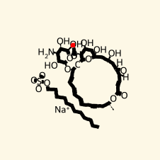 CCCCCCCCCCCCOS(=O)(=O)[O-].C[C@@H]1C/C=C/C=C/C=C/C=C/[C@H](O[C@@H]2O[C@H](C)[C@@H](O)[C@H](N)[C@@H]2O)C[C@@H]2O[C@](O)(C[C@@H](O)C[C@H]3O[C@@H]3/C=C/C(=O)O1)C[C@H](O)[C@H]2C(=O)O.[Na+]